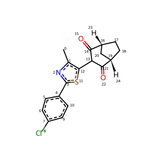 Cc1nc(-c2ccc(Cl)cc2)sc1C1C(=O)[C@@H]2CC[C@@H](C2)C1=O